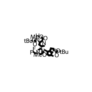 COC(=O)c1ncc([C@H]2CN(CC(F)F)CCN2Cc2c(OC)cc(C)c3c2ccn3C(=O)OC(C)(C)C)cc1NC(=O)OC(C)(C)C